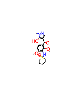 COc1ccc(C(=O)c2cnn(C)c2O)c(OC)c1N=S1(=O)CCCCC1